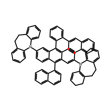 C1=CC2=C(CC1)CCc1ccccc1N2c1ccc2c(-c3ccccc3-c3ccc4ccccc4c3)c3cc(N4c5ccccc5CCc5ccccc54)ccc3c(-c3cccc4ccccc34)c2c1